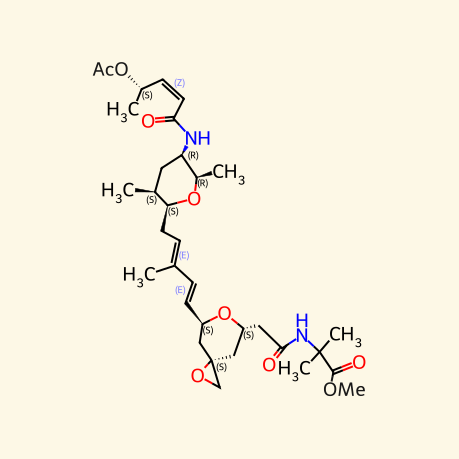 COC(=O)C(C)(C)NC(=O)C[C@@H]1C[C@@]2(CO2)C[C@@H](/C=C/C(C)=C/C[C@@H]2O[C@H](C)[C@H](NC(=O)/C=C\[C@H](C)OC(C)=O)C[C@@H]2C)O1